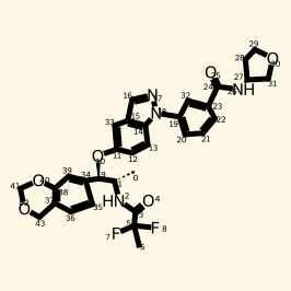 C[C@H](NC(=O)C(C)(F)F)[C@H](Oc1ccc2c(cnn2-c2cccc(C(=O)N[C@@H]3CCOC3)c2)c1)c1ccc2c(c1)OCOC2